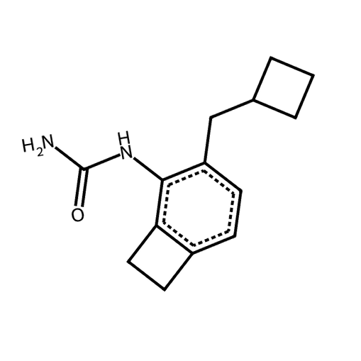 NC(=O)Nc1c(CC2CCC2)ccc2c1CC2